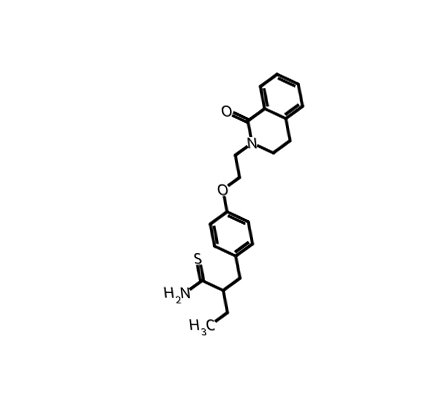 CCC(Cc1ccc(OCCN2CCc3ccccc3C2=O)cc1)C(N)=S